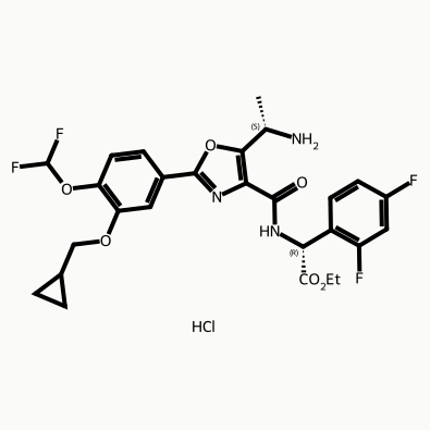 CCOC(=O)[C@H](NC(=O)c1nc(-c2ccc(OC(F)F)c(OCC3CC3)c2)oc1[C@H](C)N)c1ccc(F)cc1F.Cl